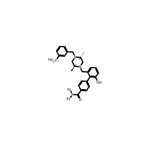 CCN(CC)C(=O)c1ccc(-c2c(O)cccc2CN2C[C@@H](C)N(Cc3cccc(C(=O)O)c3)C[C@@H]2C)cc1